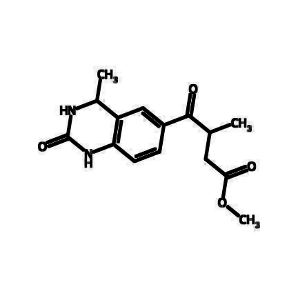 COC(=O)CC(C)C(=O)c1ccc2c(c1)C(C)NC(=O)N2